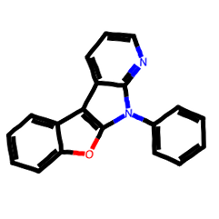 c1ccc(-n2c3ncccc3c3c4ccccc4oc32)cc1